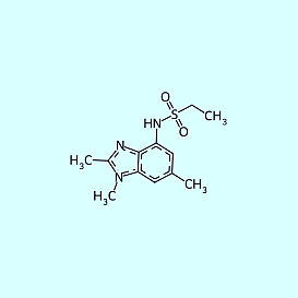 CCS(=O)(=O)Nc1cc(C)cc2c1nc(C)n2C